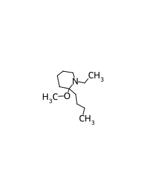 CCCCC1(OC)CCCCN1CC